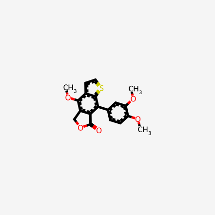 COc1ccc(-c2c3c(c(OC)c4ccsc24)COC3=O)cc1OC